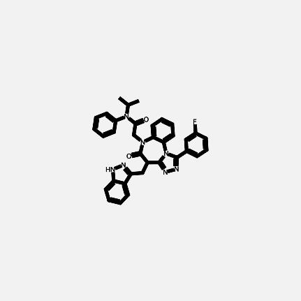 CC(C)N(C(=O)CN1C(=O)C(Cc2n[nH]c3ccccc23)c2nnc(-c3cccc(F)c3)n2-c2ccccc21)c1ccccc1